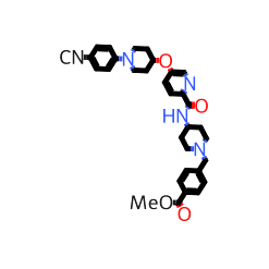 [C-]#[N+]c1ccc(N2CCC(Oc3ccc(C(=O)NC4CCN(Cc5ccc(C(=O)OC)cc5)CC4)nc3)CC2)cc1